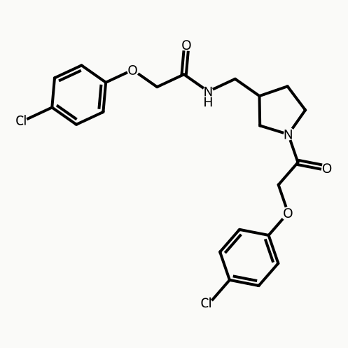 O=C(COc1ccc(Cl)cc1)NCC1CCN(C(=O)COc2ccc(Cl)cc2)C1